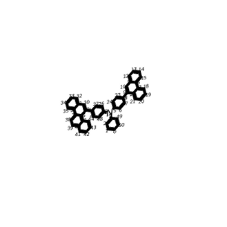 c1ccc(N(c2ccc(-c3cc4ccccc4c4ccccc34)cc2)c2ccc(-c3cc4ccccc4c4ccc5ccccc5c34)cc2)cc1